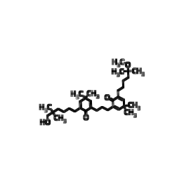 COC(C)(C)CCCCC1=CC(C)(C)C=C(CCCC2=CC(C)(C)C=C(CCCCC(C)(C)CO)C2=O)C1=O